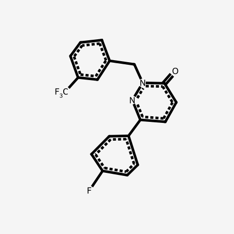 O=c1ccc(-c2ccc(F)cc2)nn1Cc1cccc(C(F)(F)F)c1